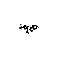 FC(F)Oc1cc(C(F)(F)F)cnc1NC1CCOc2cc(Cl)ccc21